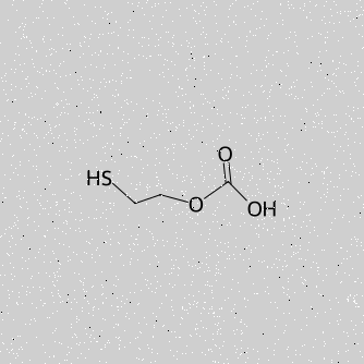 O=C(O)OCCS